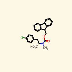 CN(C(=O)OCC1c2ccccc2-c2ccccc21)[C@@H](Cc1ccc(Cl)cc1)C(=O)O